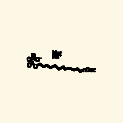 CCCCCCCCCCCCCCCCCCCCCCOC(=O)P(=O)([O-])[O-].[Na+].[Na+]